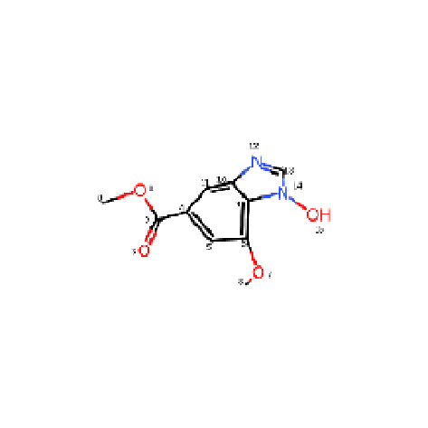 COC(=O)c1cc(OC)c2c(c1)n[c]n2O